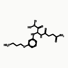 CCN(O)C(=O)C(NC(=O)CCC(N)=O)Nc1cccc(OCCCC(=O)O)c1